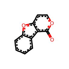 O=c1occc2oc3ccccc3c12